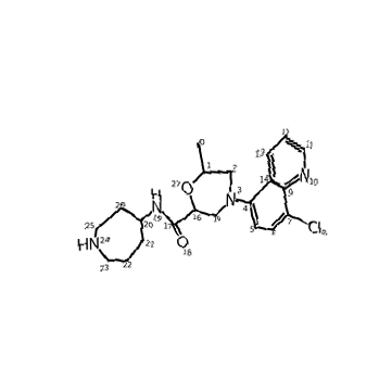 CC1CN(c2ccc(Cl)c3ncccc23)CC(C(=O)NC2CCCNCC2)O1